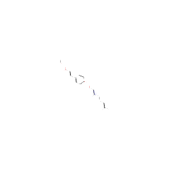 CCOC(=O)C=Cc1ccc(OC/C=C(\C)CCC=C(C)C)cc1